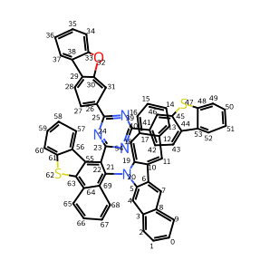 c1ccc2cc3c(cc2c1)c1cc2ccccc2cc1n3-c1c(-c2nc(-c3ccc4c(c3)oc3ccccc34)nc(-c3ccc4c(c3)sc3ccccc34)n2)c2c3ccccc3sc2c2ccccc12